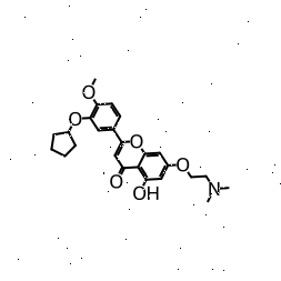 COc1ccc(-c2cc(=O)c3c(O)cc(OCCN(C)C)cc3o2)cc1OC1CCCC1